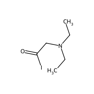 CCN(CC)CC(=O)I